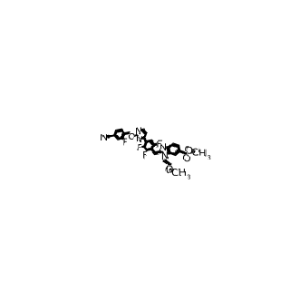 COCCn1c(Cc2c(F)cc(-c3ccnc(OCc4ccc(C#N)cc4F)n3)c(F)c2F)nc2ccc(C(=O)OC)cc21